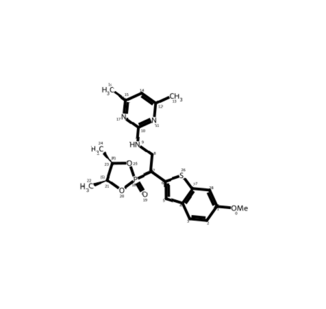 COc1ccc2cc(C(CNc3nc(C)cc(C)n3)P3(=O)O[C@@H](C)[C@@H](C)O3)sc2c1